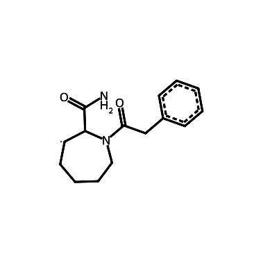 NC(=O)C1[CH]CCCCN1C(=O)Cc1ccccc1